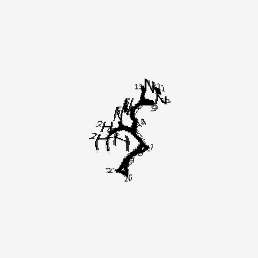 [2H]C([2H])([2H])c1nnc(-c2cncnc2)cc1C1CC1C1CC1